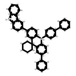 c1ccc(-c2ccc(N3c4ccc(-c5ccccc5)cc4C4(CCCCC4)c4cc(-c5ccc6sc7ccccc7c6c5)ccc43)cc2)cc1